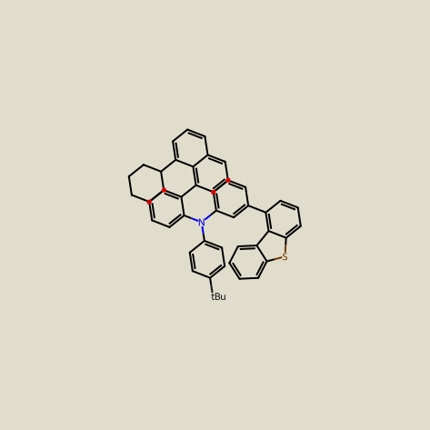 CC(C)(C)c1ccc(N(c2cccc(-c3cccc4sc5ccccc5c34)c2)c2ccccc2-c2cccc3cccc(C4CCCCC4)c23)cc1